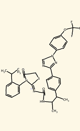 CC(C)c1ccccc1N1C(=O)CS/C1=N\C(=O)NC(C)C(C)c1ccc(-c2ncn(-c3ccc(OC(F)(F)F)cc3)n2)cc1